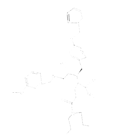 CCCN(CCC)C(=O)CCC(C(N)=O)[C@H](Cc1ccc(OCc2ccccc2)cc1)[C@@H](O)CNCc1cccc(OC)c1